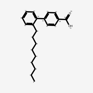 CCCCCCCCCc1ccccc1-c1ccc(C(=O)O)cc1